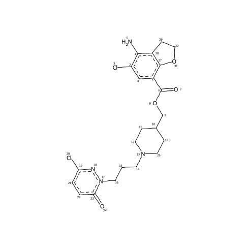 Nc1c(Cl)cc(C(=O)OCC2CCN(CCCn3nc(Cl)ccc3=O)CC2)c2c1CCO2